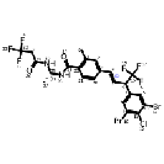 Cc1cc(/C=C/C(c2cc(Br)c(Cl)c(Br)c2)C(F)(F)F)ccc1C(=O)N[C@H](C)NC(=O)CC(F)(F)F